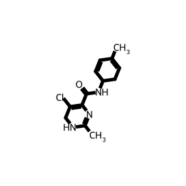 CC1=CCC(NC(=O)C2=C(Cl)CNC(C)=N2)C=C1